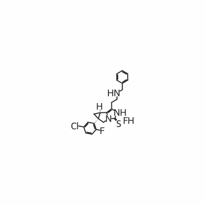 F.Fc1ccc(Cl)cc1[C@]12C[C@H]1c1c(CCNCc3ccccc3)[nH]c(=S)n1C2